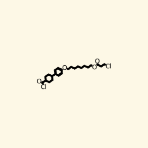 O=C(CCCl)OCCCCCCCCOc1ccc(C2CCC(C(=O)Cl)CC2)cc1